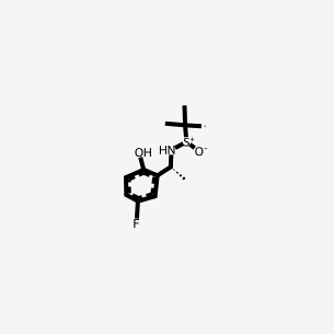 [CH2]C(C)(C)[S+]([O-])N[C@H](C)c1cc(F)ccc1O